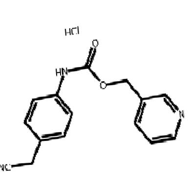 Cl.N#CCc1ccc(NC(=O)OCc2cccnc2)cc1